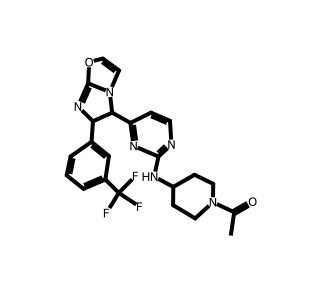 CC(=O)N1CCC(Nc2nccc(C3C(c4cccc(C(F)(F)F)c4)N=C4OC=CN43)n2)CC1